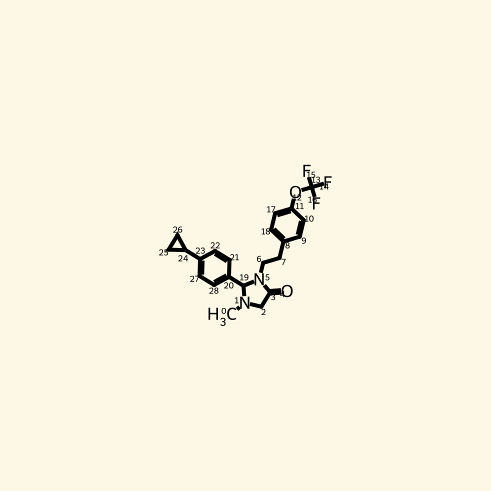 CN1CC(=O)N(CCc2ccc(OC(F)(F)F)cc2)C1c1ccc(C2CC2)cc1